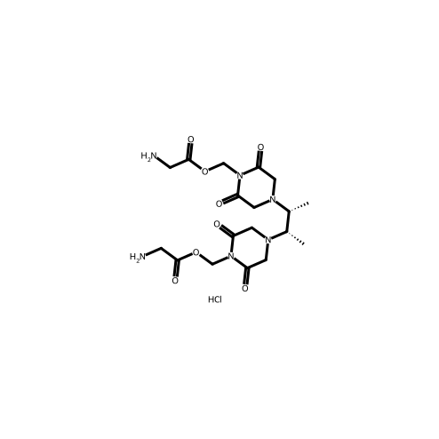 C[C@H]([C@H](C)N1CC(=O)N(COC(=O)CN)C(=O)C1)N1CC(=O)N(COC(=O)CN)C(=O)C1.Cl